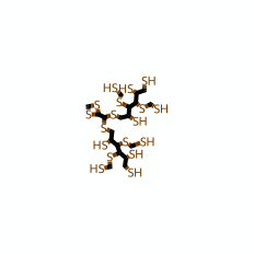 SCSC(C(S)CS)C(SCS)C(S)CSC(SCC(S)C(SCS)C(SCS)C(S)CS)C1SCS1